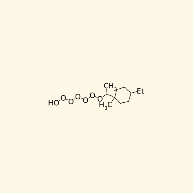 CCC1CCC(C)(C(C)OOOOOOO)CC1